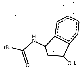 CC(C)(C)C(=O)NC1CC(O)c2ccccc21